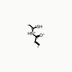 C=CC(=O)NC(C)S